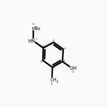 CCCCNc1ccc(O)c(C)c1